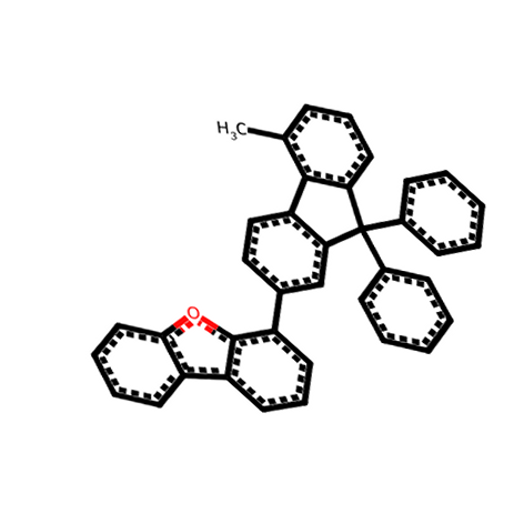 Cc1cccc2c1-c1ccc(-c3cccc4c3oc3ccccc34)cc1C2(c1ccccc1)c1ccccc1